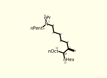 C=C(CCCCCN(CCC)CCCCC)C(CCCCCC)CCCCCCCC